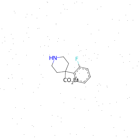 CCOC(=O)C1(c2ccccc2F)CCNCC1